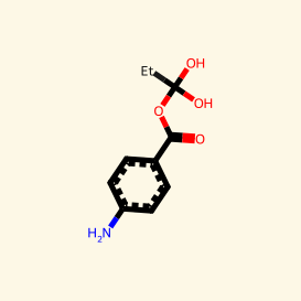 CCC(O)(O)OC(=O)c1ccc(N)cc1